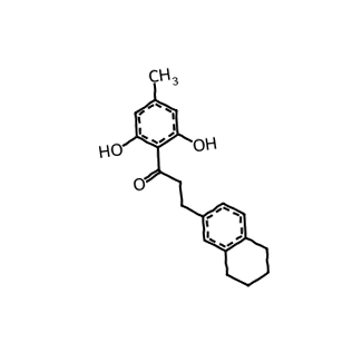 Cc1cc(O)c(C(=O)CCc2ccc3c(c2)CCCC3)c(O)c1